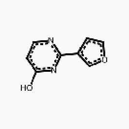 Oc1ccnc(-c2ccoc2)n1